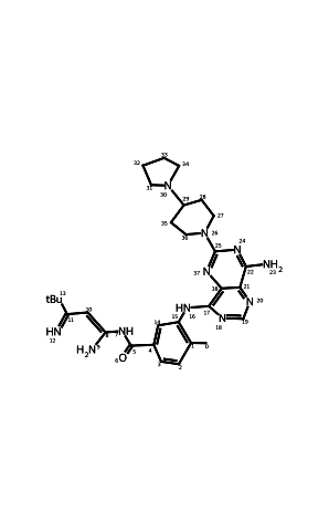 Cc1ccc(C(=O)N/C(N)=C/C(=N)C(C)(C)C)cc1Nc1ncnc2c(N)nc(N3CCC(N4CCCC4)CC3)nc12